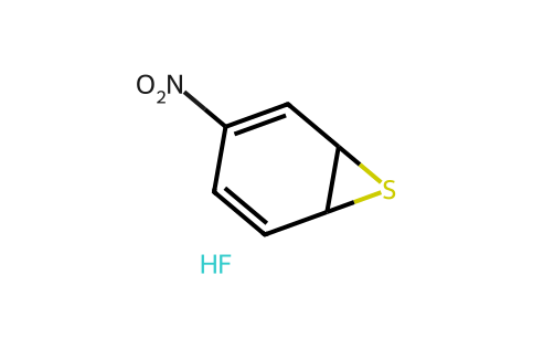 F.O=[N+]([O-])C1=CC2SC2C=C1